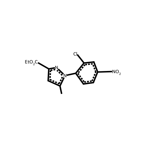 CCOC(=O)c1cc(C)n(-c2ccc([N+](=O)[O-])cc2Cl)n1